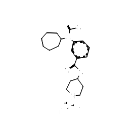 CC(C)S(=O)(=O)N1CCC(NC(=N)c2cccc(N(C(N)=O)C3CCCCCC3)c2)CC1